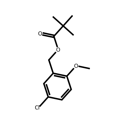 COc1ccc(Cl)cc1COC(=O)C(C)(C)C